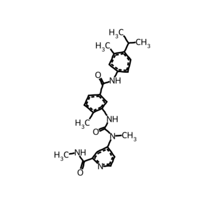 CNC(=O)c1cc(N(C)C(=O)Nc2cc(C(=O)Nc3ccc(C(C)C)c(C)c3)ccc2C)ccn1